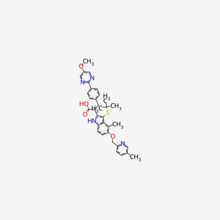 COc1cnc(-c2ccc(CC(C(=O)O)c3[nH]c4ccc(OCc5ccc(C)cn5)c(C)c4c3SC(C)(C)C)cc2)nc1